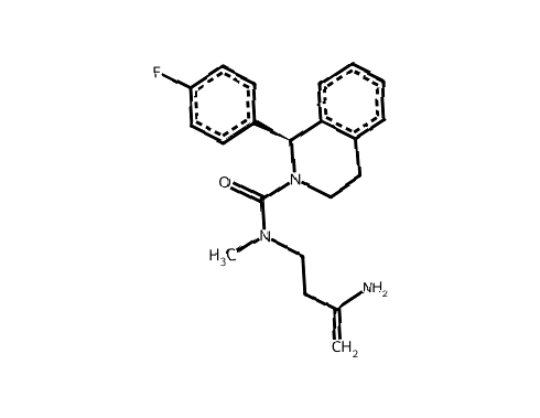 C=C(N)CCN(C)C(=O)N1CCc2ccccc2[C@@H]1c1ccc(F)cc1